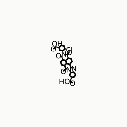 O=C(O)c1ccc(Cl)c(N2C(=O)c3ccc4c(=O)n5c6cc(C(=O)O)ccc6nc5c5ccc(c3c45)C2=O)c1